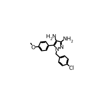 COc1ccc(-c2c(N)c(N)nn2Cc2ccc(Cl)cc2)cc1